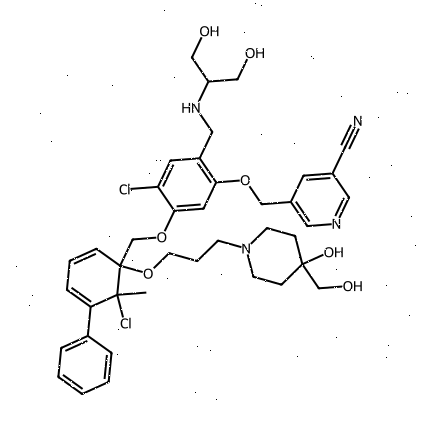 CC1(Cl)C(c2ccccc2)=CC=CC1(COc1cc(OCc2cncc(C#N)c2)c(CNC(CO)CO)cc1Cl)OCCCN1CCC(O)(CO)CC1